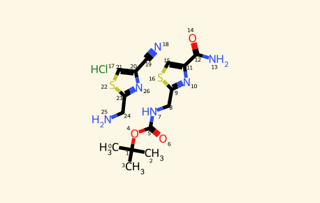 CC(C)(C)OC(=O)NCc1nc(C(N)=O)cs1.Cl.N#Cc1csc(CN)n1